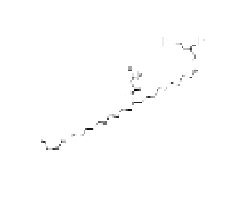 CC(C)CCC(COC(=O)CCCCCCCCCC(CCCCCCCCCC(=O)OCC(CCC(C)C)C(C)C)OC(=O)CN(C(C)C)C(C)C)C(C)C